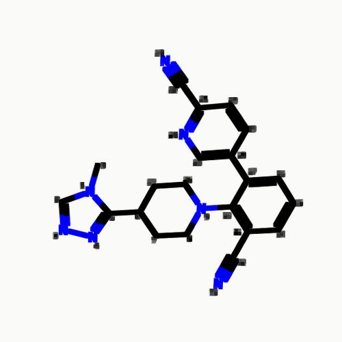 Cn1cnnc1C1CCN(c2c(C#N)cccc2-c2ccc(C#N)nc2)CC1